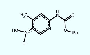 Cc1cc(NC(=O)OC(C)(C)C)ncc1[NH+]([O-])O